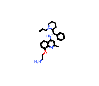 C=CCN1CCCCC1[C@@H](Nc1cc(C)nc2c(OCCN)cccc12)c1ccccc1